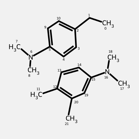 CCc1ccc(N(C)C)cc1.Cc1ccc(N(C)C)cc1C